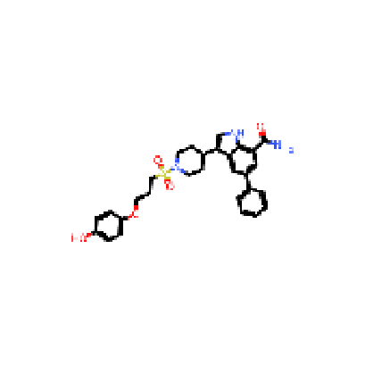 NC(=O)c1cc(-c2ccccc2)cc2c(C3CCN(S(=O)(=O)CCCOc4ccc(O)cc4)CC3)c[nH]c12